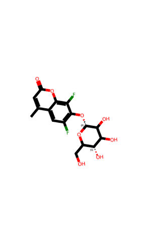 Cc1cc(=O)oc2c(F)c(O[C@H]3OC(CO)[C@@H](O)C(O)C3O)c(F)cc12